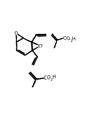 C=C(C)C(=O)O.C=C(C)C(=O)O.C=CC12C=CC3OC3C1(C=C)O2